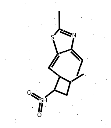 C/C=c1/nc(C)s/c1=C/C1C(C)CC1[SH](=O)=O